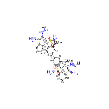 [H]/N=N/C1=C(N)c2ccccc2C(c2ccc(-c3ccc(C4(S(N)(=O)=O)CC(/N=N/[H])=C(N)c5ccccc54)c(SC)c3)cc2SC)(S(N)(=O)=O)C1